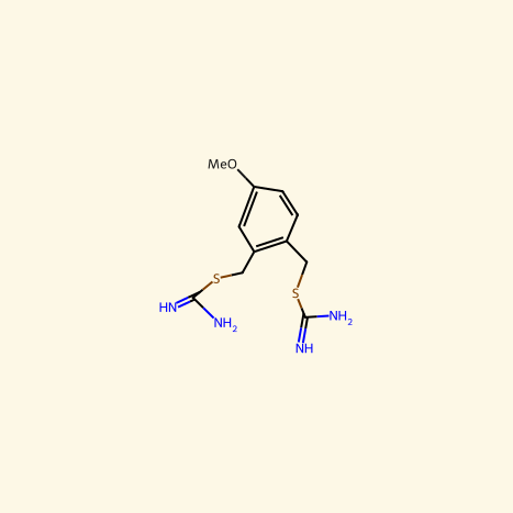 COc1ccc(CSC(=N)N)c(CSC(=N)N)c1